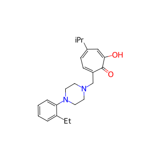 CCc1ccccc1N1CCN(Cc2ccc(C(C)C)cc(O)c2=O)CC1